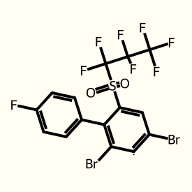 O=S(=O)(c1cc(Br)[c]c(Br)c1-c1ccc(F)cc1)C(F)(F)C(F)(F)C(F)(F)F